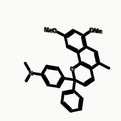 COc1cc(OC)c2cc(C)c3c(c2c1)OC(c1ccccc1)(c1ccc(N(C)C)cc1)C=C3